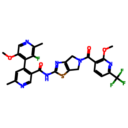 COc1cnc(C)c(F)c1-c1cc(C)ncc1C(=O)Nc1nc2c(s1)CN(C(=O)c1ccc(C(F)(F)F)nc1OC)C2